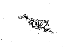 COCCOc1cnc2ccn([C@H](C)C(=N)n3cc(-c4cnn(C)c4)cc(F)c3=N)c(=O)c2c1